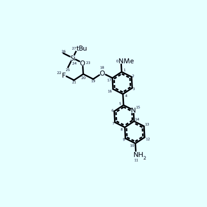 CNc1ccc(-c2ccc3cc(N)ccc3n2)cc1OCC(CF)O[Si](C)(C)C(C)(C)C